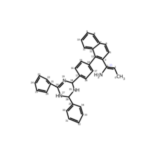 C/C=C(\N)c1ccc2ccccc2c1-c1ccc(C2N=C(c3ccccc3)NC(c3ccccc3)N2)cc1